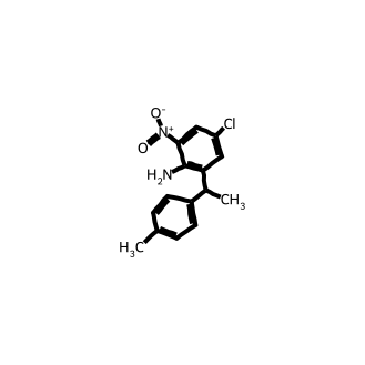 Cc1ccc(C(C)c2cc(Cl)cc([N+](=O)[O-])c2N)cc1